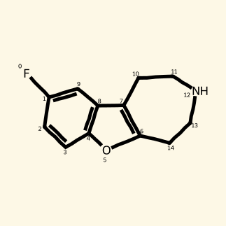 Fc1ccc2oc3c(c2c1)CCNCC3